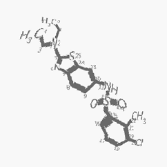 CCN(CC)c1nc2ccc(NS(=O)(=O)c3cccc(Cl)c3C)cc2s1